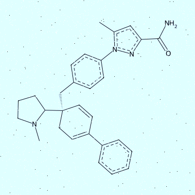 Cc1cc(C(N)=O)nn1-c1ccc(C[C@]2(C3CCCN3C)C=CC(c3ccccc3)=CC2)cc1